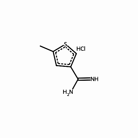 Cc1cc(C(=N)N)cs1.Cl